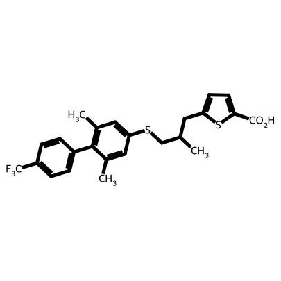 Cc1cc(SCC(C)Cc2ccc(C(=O)O)s2)cc(C)c1-c1ccc(C(F)(F)F)cc1